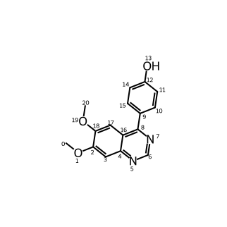 COc1cc2ncnc(-c3ccc(O)cc3)c2cc1OC